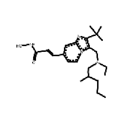 CCCC(C)CN(CC)Cc1c(C(C)(C)C)nc2cc(C=CC(=O)NO)ccn12